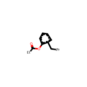 CCC(=O)Oc1ccccc1CC(C)C